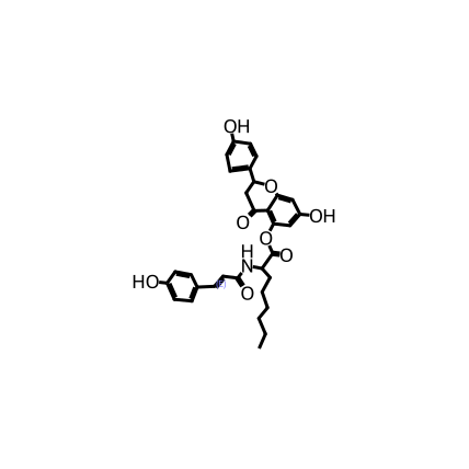 CCCCCCC(NC(=O)/C=C/c1ccc(O)cc1)C(=O)Oc1cc(O)cc2c1C(=O)CC(c1ccc(O)cc1)O2